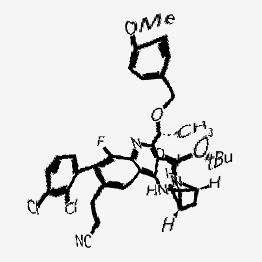 COc1ccc(CO[C@H](C)c2nc3c(F)c(-c4cccc(Cl)c4Cl)c(CCC#N)cc3c(N[C@H]3[C@@H]4C[C@H]3N(C(=O)OC(C)(C)C)C4)c2I)cc1